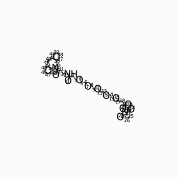 O=C(CCOCCOCCOCCOCCOCCC(=O)ON1C(=O)CCC1=O)NCCC(=O)N1Cc2ccccc2C#Cc2ccccc21